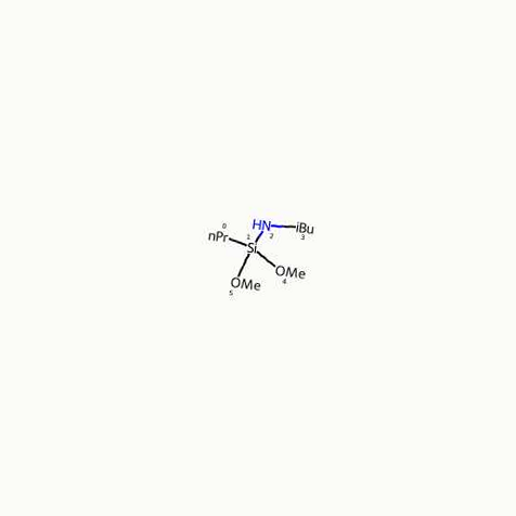 CCC[Si](NC(C)CC)(OC)OC